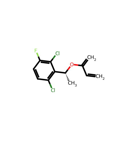 C=CC(=C)O[C@H](C)c1c(Cl)ccc(F)c1Cl